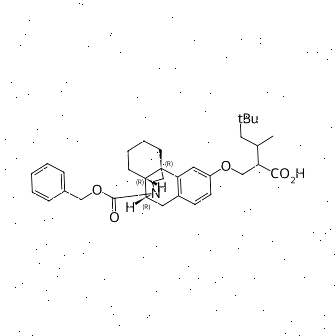 CC(CC(C)(C)C)C(COc1ccc2c(c1)[C@@]13CCCC[C@H]1[C@@H](C2)N(C(=O)OCc1ccccc1)CC3)C(=O)O